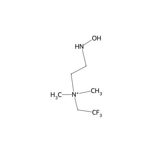 C[N+](C)(CCNO)CC(F)(F)F